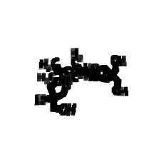 C=C(C)C(=O)O.C=C(C)C(=O)O.CCC(CO)(CO)CO.OCC(CO)(CO)CO